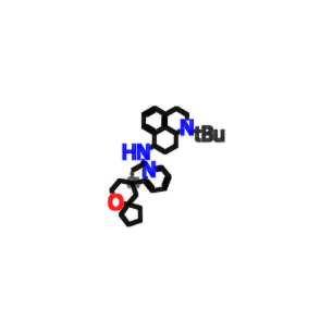 CC(C)(C)N1CCc2cccc3c2C1CCC3NCC[C@@]1(c2ccccn2)CCOC2(CCCC2)C1